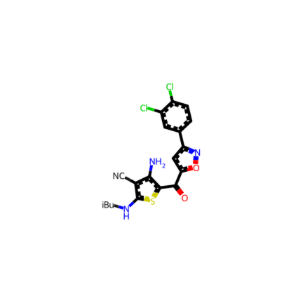 CCC(C)Nc1sc(C(=O)c2cc(-c3ccc(Cl)c(Cl)c3)no2)c(N)c1C#N